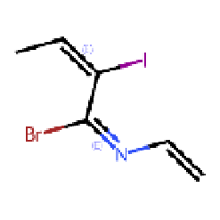 C=C/N=C(Br)\C(I)=C/C